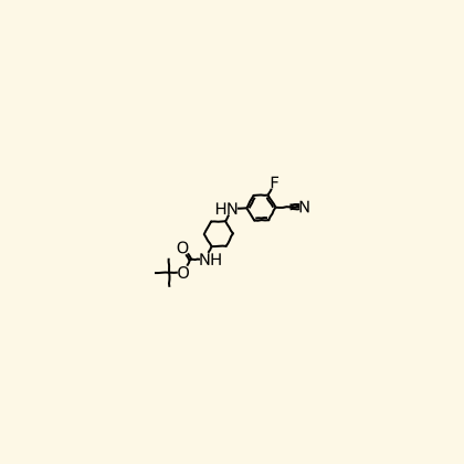 CC(C)(C)OC(=O)NC1CCC(Nc2ccc(C#N)c(F)c2)CC1